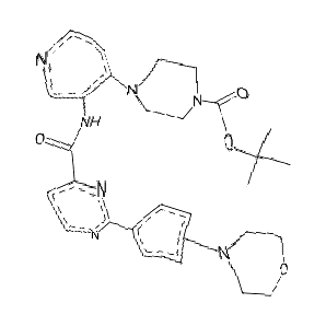 CC(C)(C)OC(=O)N1CCN(c2ccncc2NC(=O)c2ccnc(-c3ccc(N4CCOCC4)cc3)n2)CC1